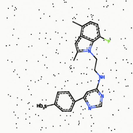 Cc1ccc(F)c2c1cc(C)n2CCNc1cc(-c2ccc(S(=O)(=O)O)cc2)ncn1